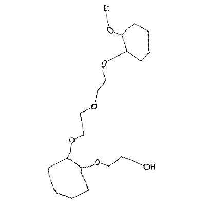 CCOC1CCCCC1OCCOCCOC1CCCCC1OCCO